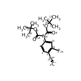 [C-]#[N+]c1ccc(N(C(=O)OC(C)(C)C)C(=O)OC(C)(C)C)cc1F